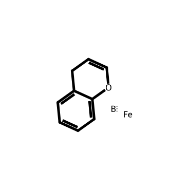 C1=COc2ccccc2C1.[B].[Fe]